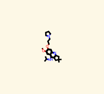 COc1cc2c(NC(C)C)c3c(nc2cc1OCCCN1CCCC1)CC(C)(C)C3